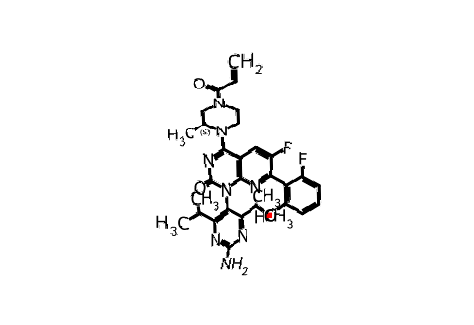 C=CC(=O)N1CCN(c2nc(=O)n(-c3c(C(C)C)nc(N)nc3C(C)C)c3nc(-c4c(O)cccc4F)c(F)cc23)[C@@H](C)C1